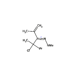 C=C(C)/C(=N/NC)C(C)(Cl)C(C)C